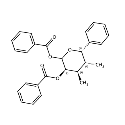 C[C@@H]1[C@@H](C)[C@@H](OC(=O)c2ccccc2)C(OC(=O)c2ccccc2)O[C@@H]1c1ccccc1